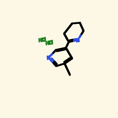 Cc1cncc(C2=NCCCC2)c1.Cl.Cl